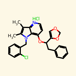 Cc1c(C)n(Cc2ccccc2Cl)c2c(OC(Cc3ccccc3)C3=COCO3)ccnc12.Cl